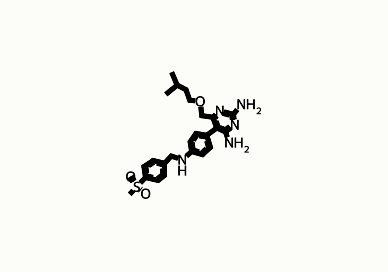 CC(C)CCOCc1nc(N)nc(N)c1-c1ccc(NCc2ccc(S(C)(=O)=O)cc2)cc1